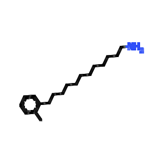 Cc1ccccc1CCCCCCCCCCCCN